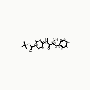 CC(C)(C)OC(=O)N1CCC(NC(=O)[C@H](N)Cc2ccccc2)CC1